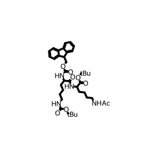 CC(=O)NCCCCC(NC(=O)C(CCCCNC(=O)OC(C)(C)C)NC(=O)OCC1c2ccccc2-c2ccccc21)C(=O)OC(C)(C)C